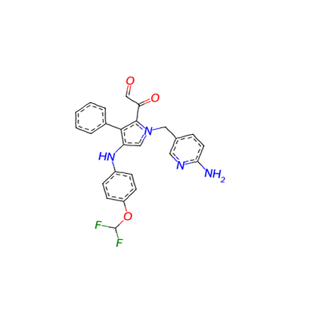 Nc1ccc(Cn2cc(Nc3ccc(OC(F)F)cc3)c(-c3ccccc3)c2C(=O)C=O)cn1